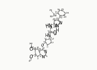 COc1cc2ncnc(Oc3cccc(NC(=O)Nc4cc(-c5ccccc5C(C)C)n[nH]4)c3)c2cc1OC